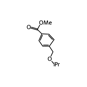 COC(=O)c1ccc(COC(C)C)cc1